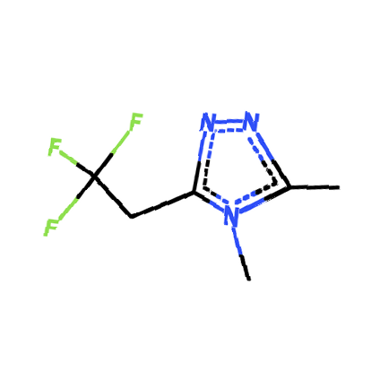 Cc1nnc(CC(F)(F)F)n1C